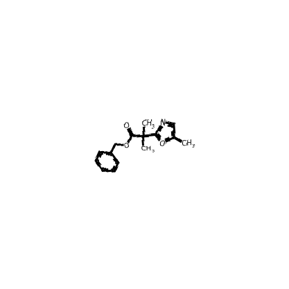 Cc1cnc(C(C)(C)C(=O)OCc2ccccc2)o1